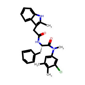 Cc1cc(N(C)C(=O)[C@H](Cc2ccccc2)NC(=O)Cc2c(C)[nH]c3ccccc23)cc(Cl)c1C